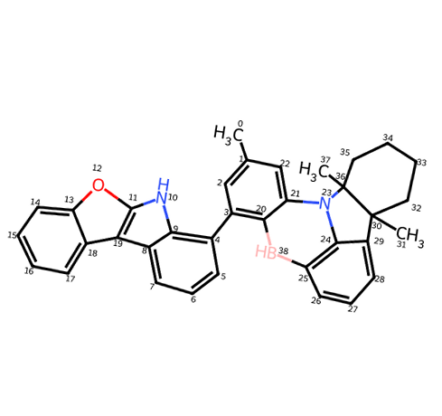 Cc1cc(-c2cccc3c2[nH]c2oc4ccccc4c23)c2c(c1)N1c3c(cccc3C3(C)CCCCC13C)B2